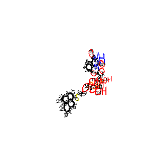 Cc1cn(C2OC[C@H](OP(O)OP(=O)(O)OP(O)OCCSc3ccc4ccc5cccc6ccc3c4c56)C2Oc2ccccc2)c(=O)[nH]c1=O